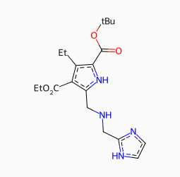 CCOC(=O)c1c(CNCc2ncc[nH]2)[nH]c(C(=O)OC(C)(C)C)c1CC